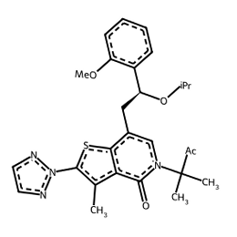 COc1ccccc1[C@H](Cc1cn(C(C)(C)C(C)=O)c(=O)c2c(C)c(-n3nccn3)sc12)OC(C)C